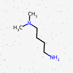 CN(C)CC[CH]CN